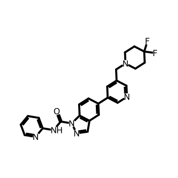 O=C(Nc1ccccn1)n1ncc2cc(-c3cncc(CN4CCC(F)(F)CC4)c3)ccc21